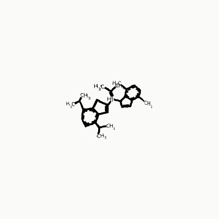 C[C](C)=[Hf]([C]1=Cc2c(C(C)C)ccc(C(C)C)c2C1)[CH]1C=Cc2c(C)ccc(C)c21